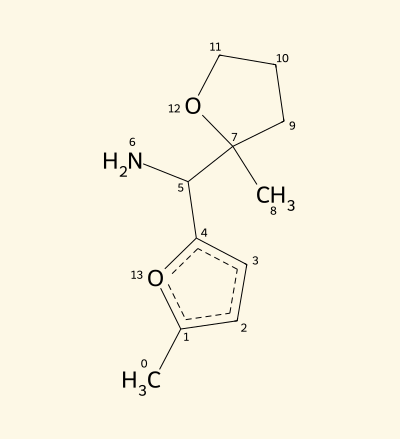 Cc1ccc(C(N)C2(C)CCCO2)o1